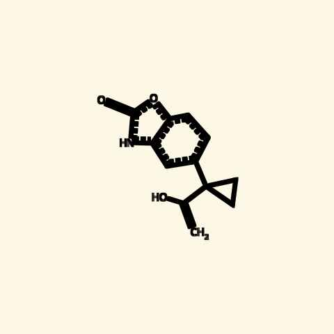 C=C(O)C1(c2ccc3oc(=O)[nH]c3c2)CC1